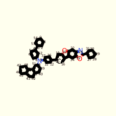 c1ccc(-c2cccc(N(c3ccc(-c4ccc5c(c4)oc4cc6nc(-c7ccccc7)oc6cc45)cc3)c3ccc4ccc5ccccc5c4c3)c2)cc1